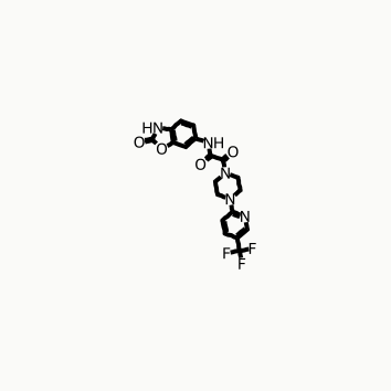 O=C(Nc1ccc2[nH]c(=O)oc2c1)C(=O)N1CCN(c2ccc(C(F)(F)F)cn2)CC1